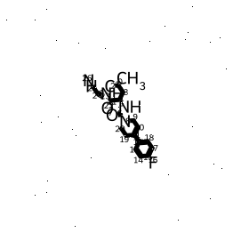 CC(C)CC(NC(=O)N1CC=C(c2ccc(F)cc2)CC1)C(=O)NCC#N